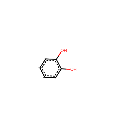 Oc1[c][c][c][c]c1O